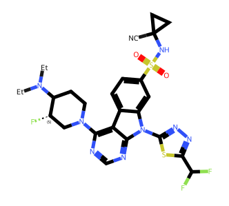 CCN(CC)C1CCN(c2ncnc3c2c2ccc(S(=O)(=O)NC4(C#N)CC4)cc2n3-c2nnc(C(F)F)s2)C[C@@H]1F